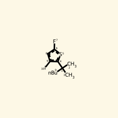 CCCCC(C)(C)c1sc(F)cc1I